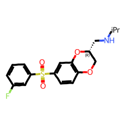 CC(C)NC[C@@H]1COc2ccc(S(=O)(=O)c3cccc(F)c3)cc2O1